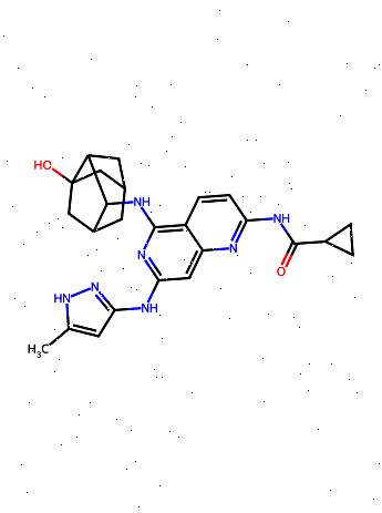 Cc1cc(Nc2cc3nc(NC(=O)C4CC4)ccc3c(NC3C4CC5CC3C(O)(C5)C4)n2)n[nH]1